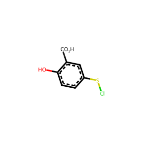 O=C(O)c1cc(SCl)ccc1O